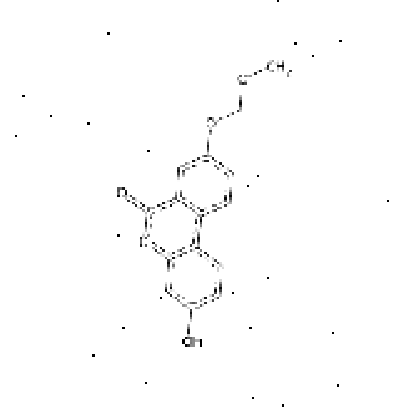 COCOc1ccc2c(c1)c(=O)oc1cc(O)ccc12